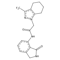 O=C(Cn1nc(C(F)(F)F)c2c1CCCC2)Nc1cccc2c1C(=O)NC2